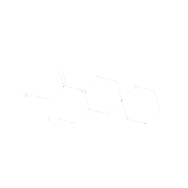 CC(C)(C)OC(=O)N1CCC2(CCCCC2)CC1CO